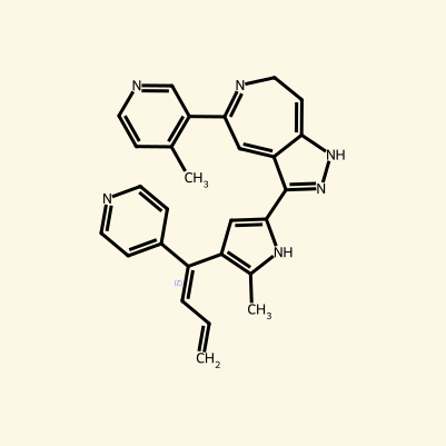 C=C/C=C(/c1ccncc1)c1cc(-c2n[nH]c3c2=CC(c2cnccc2C)=NCC=3)[nH]c1C